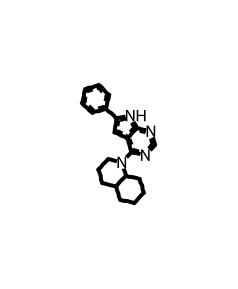 c1ccc(-c2cc3c(N4CCCC5CCCCC54)ncnc3[nH]2)cc1